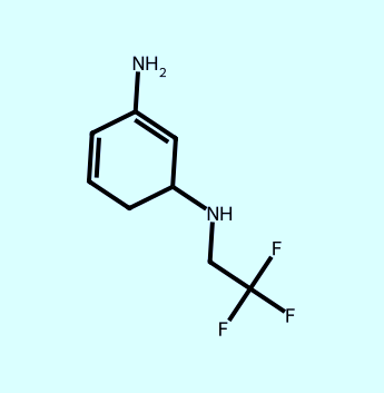 NC1=CC(NCC(F)(F)F)CC=C1